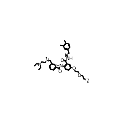 CCN(CC)CCN(C)Cc1cccc(C(=O)Nc2ccc(OCCOCCOC)cc2C(=O)NN=Cc2ccc(C)c(C)c2)c1